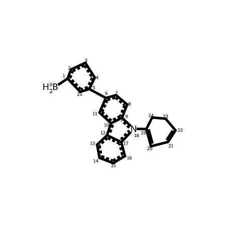 Bc1cccc(-c2ccc3c(c2)c2ccccc2n3C2=CC=CCC2)c1